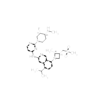 CN[C@@H]1CCN(c2nccc(Nc3cc4c(C(C)C)ccc(N5C[C@H](CS(C)(=O)=O)[C@H]5C)c4cn3)n2)C[C@@H]1F